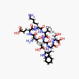 CC(C)[C@H](NC(=O)[C@H](CCCCN)NC(=O)[C@H](CCC(=O)O)NC(=O)[C@@H](N)[C@@H](C)O)C(=O)N[C@@H](CC(=O)O)C(=O)N[C@@H](Cc1c[nH]c2ccccc12)C(=O)N[C@@H](CO)C(=O)O